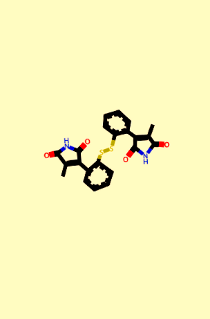 CC1=C(c2ccccc2SSc2ccccc2C2=C(C)C(=O)NC2=O)C(=O)NC1=O